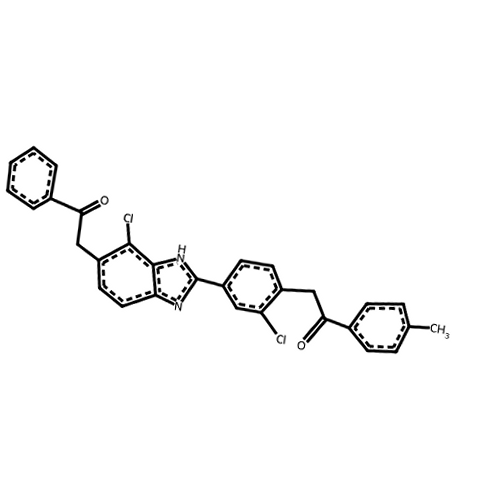 Cc1ccc(C(=O)Cc2ccc(-c3nc4ccc(CC(=O)c5ccccc5)c(Cl)c4[nH]3)cc2Cl)cc1